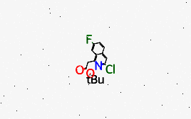 CC(C)(C)OC(=O)Cc1nc(Cl)cc2ccc(F)cc12